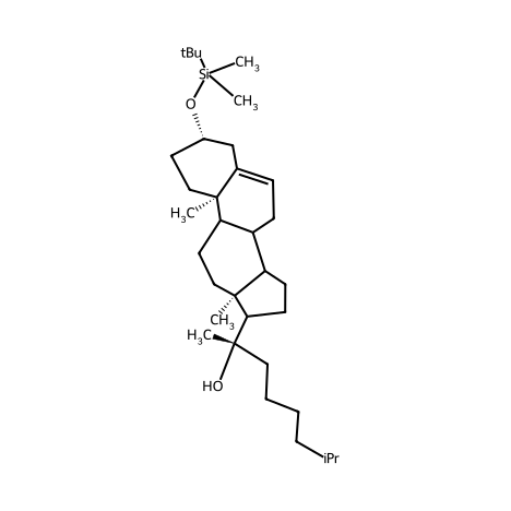 CC(C)CCCC[C@](C)(O)C1CCC2C3CC=C4C[C@@H](O[Si](C)(C)C(C)(C)C)CC[C@]4(C)C3CC[C@@]21C